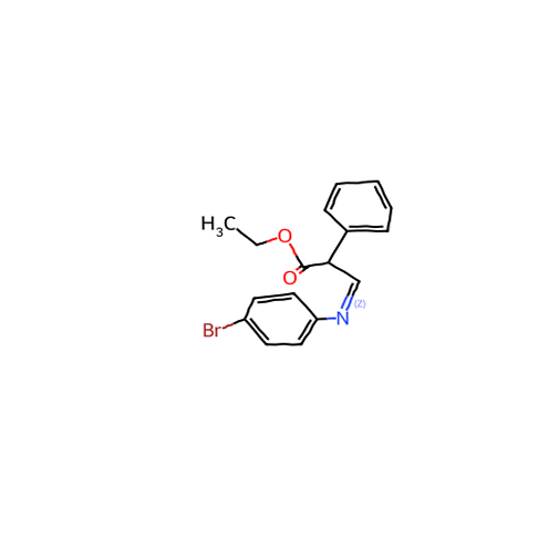 CCOC(=O)C(/C=N\c1ccc(Br)cc1)c1ccccc1